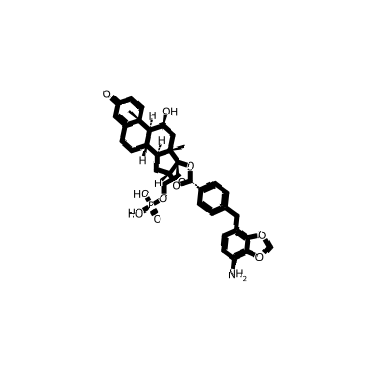 C[C@]12C=CC(=O)C=C1CC[C@@H]1[C@@H]2[C@@H](O)C[C@@]2(C)[C@H]1C[C@H]1O[C@@H](c3ccc(Cc4ccc(N)c5c4OCO5)cc3)O[C@]12C(=O)COP(=O)(O)O